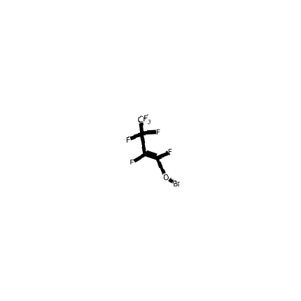 FC(OBr)=C(F)C(F)(F)C(F)(F)F